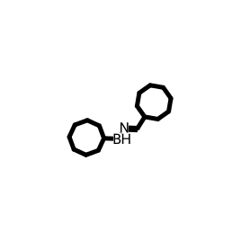 B(/N=C/C1CCCCCCC1)C1CCCCCCC1